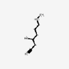 C#CCC(O)CCCNC